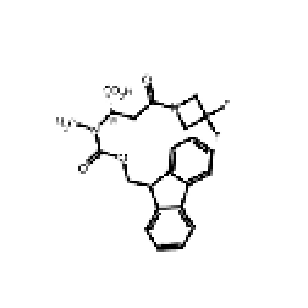 CN(C(=O)OCC1c2ccccc2-c2ccccc21)[C@@H](CC(=O)N1CC(F)(F)C1)C(=O)O